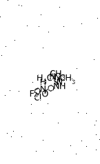 Cc1nc(NC2CCC(C(=O)Nc3ccc(F)c(Cl)c3)CC2)cc(N(C)C)n1